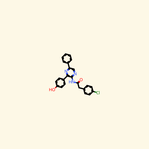 O=C(Cc1ccc(Cl)cc1)Nc1ncc(-c2ccccc2)nc1-c1ccc(O)cc1